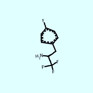 NC(Cc1ccc(F)cc1)C(F)(F)F